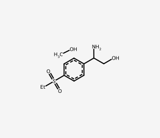 CCS(=O)(=O)c1ccc(C(N)CO)cc1.CO